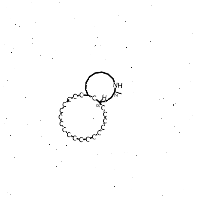 C[C@H]1CC[C@@H]2CCCCCCCCCCCCCCCCCCC(CCCCCCCN1)C2